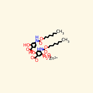 CCCCCCCCOC(=O)Nc1ccc(C(=O)[O-])c(O)c1.CCCCCCCCOC(=O)Nc1ccc(C(=O)[O-])c(O)c1.O.O.[Zn+2]